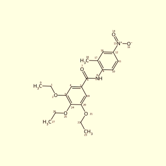 CCOc1cc(C(=O)Nc2ccc([N+](=O)[O-])cc2C)cc(OCC)c1OCC